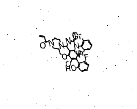 C=CC(=O)N1CCN2c3nc(=O)n(-c4c(C(C)C)cccc4C(C)C)c4c(F)c(-c5c(O)cccc5F)c(Cl)c(c34)OCC2C1